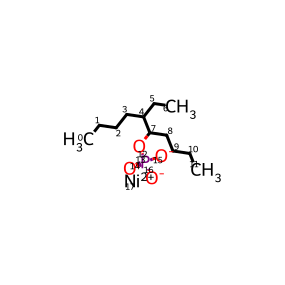 CCCCC(CC)C(CCCC)OP(=O)([O-])[O-].[Ni+2]